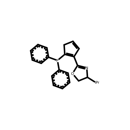 CC(C)C1COC(C2=C(P(c3ccccc3)c3ccccc3)CC=C2)=N1